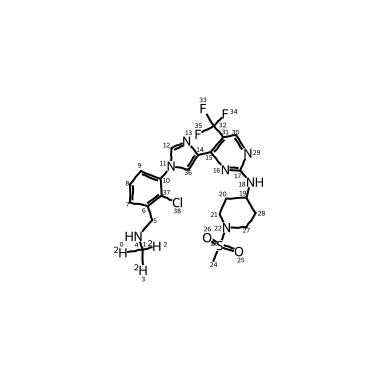 [2H]C([2H])([2H])NCc1cccc(-n2cnc(-c3nc(NC4CCN(S(C)(=O)=O)CC4)ncc3C(F)(F)F)c2)c1Cl